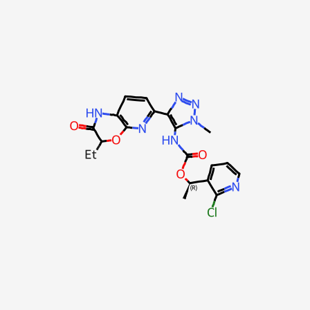 CCC1Oc2nc(-c3nnn(C)c3NC(=O)O[C@H](C)c3cccnc3Cl)ccc2NC1=O